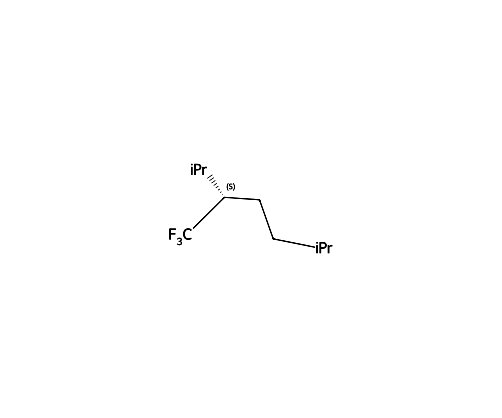 CC(C)CC[C@@H](C(C)C)C(F)(F)F